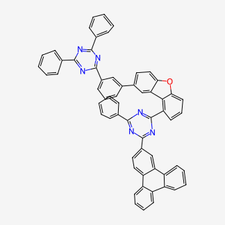 c1ccc(-c2nc(-c3ccccc3)nc(-c3cccc(-c4ccc5oc6cccc(-c7nc(-c8ccccc8)nc(-c8ccc9c%10ccccc%10c%10ccccc%10c9c8)n7)c6c5c4)c3)n2)cc1